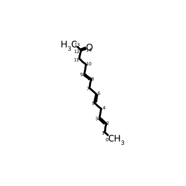 CCC=CCC=CCC=CCCC(C)=O